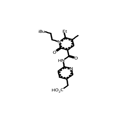 CCc1c(C)cc(C(=O)Nc2ccc(CC(=O)O)cn2)c(=O)n1CCC(C)CC